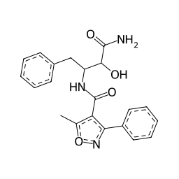 Cc1onc(-c2ccccc2)c1C(=O)NC(Cc1ccccc1)C(O)C(N)=O